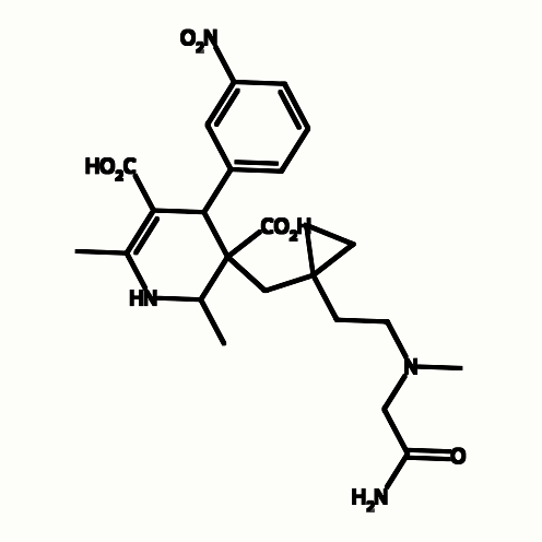 CC1=C(C(=O)O)C(c2cccc([N+](=O)[O-])c2)C(CC2(CCN(C)CC(N)=O)CC2)(C(=O)O)C(C)N1